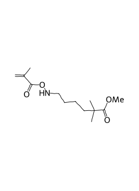 C=C(C)C(=O)ONCCCCC(C)(C)C(=O)OC